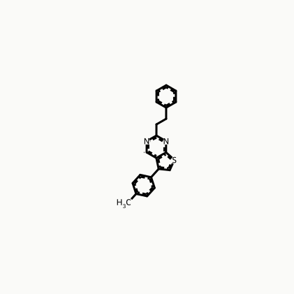 Cc1ccc(-c2csc3nc(CCc4ccccc4)n[c]c23)cc1